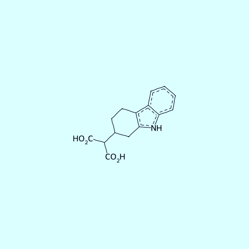 O=C(O)C(C(=O)O)C1CCc2c([nH]c3ccccc23)C1